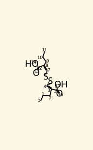 CCCC(=CSSC=C(CCC)C(=O)O)C(=O)O